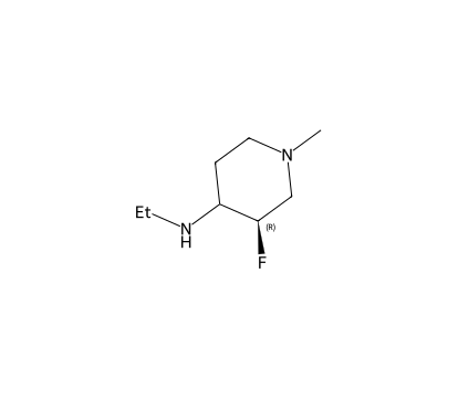 CCNC1CCN(C)C[C@H]1F